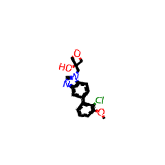 COc1cccc(-c2ccc3c(c2)ncn3CC2(O)COC2)c1Cl